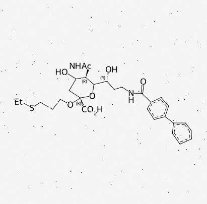 CCSCCCO[C@]1(C(=O)O)CC(O)[C@@H](NC(C)=O)C([C@H](O)CCNC(=O)c2ccc(-c3ccccc3)cc2)O1